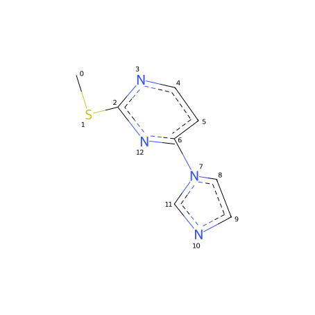 CSc1nccc(-n2ccnc2)n1